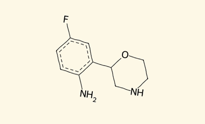 Nc1ccc(F)cc1C1CNCCO1